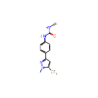 CC(C)NC(=O)Nc1ccc(-c2cc(C(F)(F)F)n(C)n2)cc1